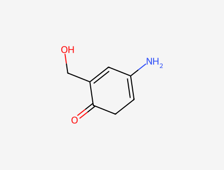 NC1=CCC(=O)C(CO)=C1